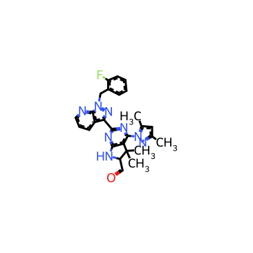 Cc1cc(C)n(-c2nc(-c3nn(Cc4ccccc4F)c4ncccc34)nc3c2C(C)(C)C(C=O)N3)n1